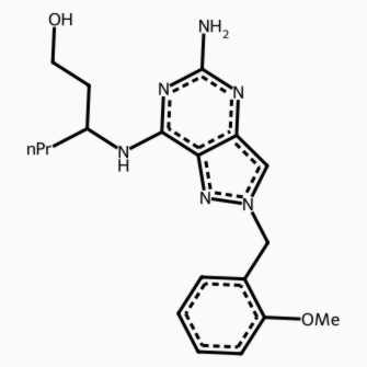 CCCC(CCO)Nc1nc(N)nc2cn(Cc3ccccc3OC)nc12